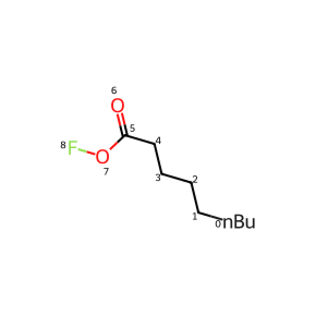 CCCCCCCCC(=O)OF